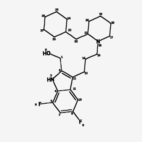 OCc1[nH]c2c(F)cc(F)cc2c1CCCN1CCCCC1CC1CCCCC1